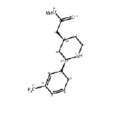 COC(=O)C[C@H]1CCN[C@@H](C2C=C(C(F)(F)F)C=CC2)C1